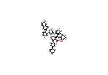 c1ccc(-c2ccc(-c3ccc(N(c4cccc(-c5ccccc5-c5ccc6ccccc6c5)c4)c4ccccc4-c4cccc5oc6ccccc6c45)cc3)cc2)cc1